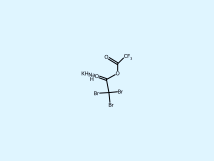 O=C(OC(=O)C(Br)(Br)Br)C(F)(F)F.[KH].[NaH]